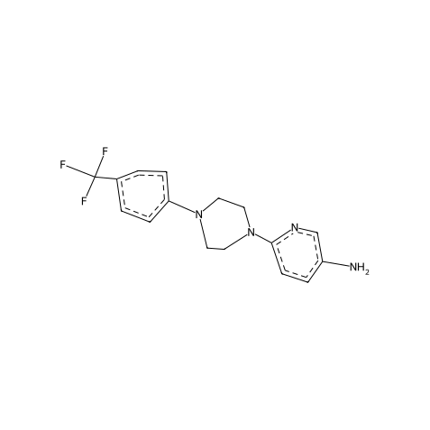 Nc1ccc(N2CCN(c3ccc(C(F)(F)F)cc3)CC2)nc1